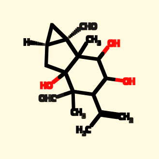 C=C(C)C1C(O)C(O)C2(C)C(O)(C[C@H]3C[C@]32C=O)C1(C)C=O